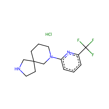 Cl.FC(F)(F)c1cccc(N2CCCC3(CCNC3)C2)n1